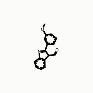 COc1cccc(C2=Nc3ccccc3C2C=O)c1